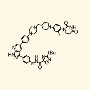 Cc1cc(N2CCC(CN3CCN(c4ccc(-c5cnc6[nH]nc(-c7ccc([C@@H](C)NC(=O)c8nc(C(C)(C)C)no8)cc7)c6c5)cc4)CC3)CC2)ccc1N1CCC(=O)NC1=O